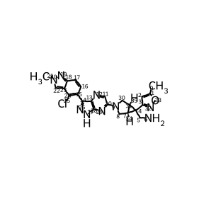 Cc1cc(C2(CN)[C@@H]3CN(c4cnc5c(-c6ccc7nn(C)cc7c6Cl)n[nH]c5n4)C[C@@H]32)no1